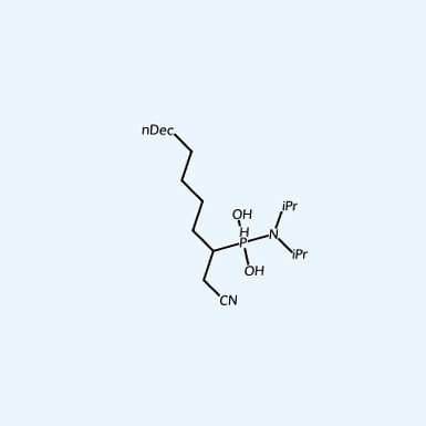 CCCCCCCCCCCCCCC(CC#N)[PH](O)(O)N(C(C)C)C(C)C